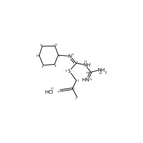 C=C(C)CSC(=NC1CCCCC1)NC(=N)N.Cl